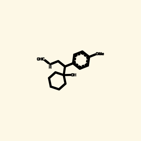 COc1ccc(C(CNC=O)C2(O)CCCCC2)cc1